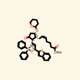 COC(=O)CCC/C=C\C[C@H]1[C@@H](OC2CCCCO2)CC(=O)[C@@H]1/C=C/[C@@H](O[Si](c1ccccc1)(c1ccccc1)C(C)(C)C)c1cc2ccccc2s1